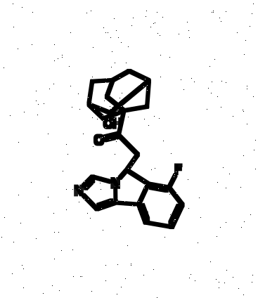 O=C(CC1c2c(F)cccc2-c2cncn21)C12CC3CC(C1)C(O)C(C3)C2